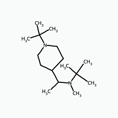 CC(C1CCN(C(C)(C)C)CC1)N(C)C(C)(C)C